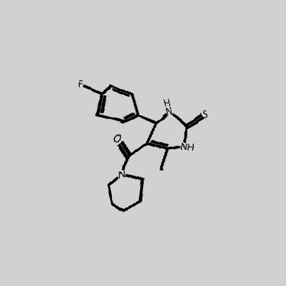 CC1=C(C(=O)N2CCCCC2)C(c2ccc(F)cc2)NC(=S)N1